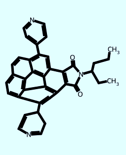 CCCC(CC)n1c(=O)c2c3cc(-c4ccncc4)c4ccc5ccc6c(C7C=CN=CC7)cc(c2c1=O)c1c6c5c4c31